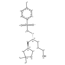 Cc1ccc(S(=O)(=O)OC[C@H](CCCO)C[C@H]2COC(C)(C)C2)cc1